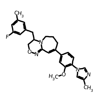 COc1cc(C2=CC3=NOCC(Cc4cc(C)cc(F)c4)N3CCC2)ccc1-n1cnc(C)c1